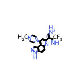 CN1CCN(c2cc(/C(=C/N)C(=N)C(F)(F)F)nc3ccc4[nH]ncc4c23)CC1